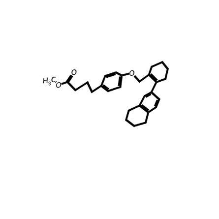 COC(=O)CCCc1ccc(OCC2=C(c3ccc4c(c3)CCCC4)CCCC2)cc1